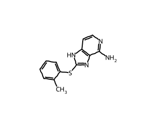 Cc1ccccc1Sc1nc2c(N)nccc2[nH]1